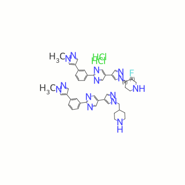 Cl.Cl.Cn1cc(-c2cccc(-c3ncc(-c4cnn(CC5CCNCC5)c4)cn3)c2)cn1.Cn1cc(-c2cccc(-c3ncc(-c4cnn([C@@H]5CCNC[C@H]5F)c4)cn3)c2)cn1